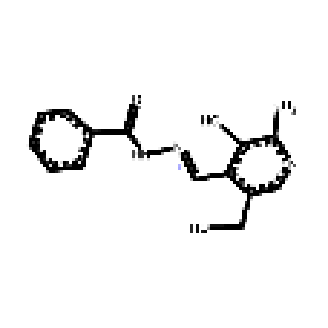 Cc1ncc(CO)c(/C=N/NC(=O)c2ccccc2)c1O